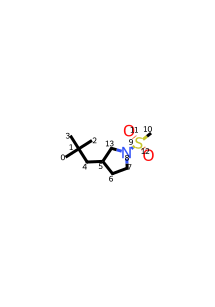 CC(C)(C)CC1CCN(S(C)(=O)=O)C1